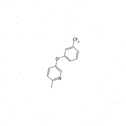 Cc1ccc(Oc2cccc(C(F)(F)F)c2)cn1